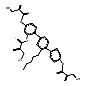 C=C(CO)C(=O)Oc1ccc(-c2ccc(-c3ccc(OC(=O)C(=C)CO)cc3OC(=O)C(=C)CO)cc2CCCCC)cc1